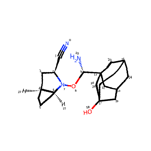 N#C[C@@H]1C[C@@H]2C[C@@H]2N1O[C@H](N)C12CC3CC(CC(O)(C3)C1)C2